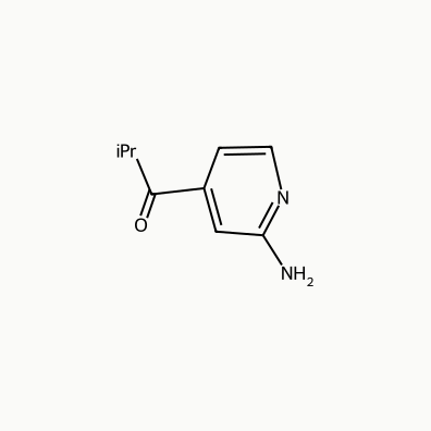 CC(C)C(=O)c1ccnc(N)c1